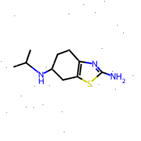 CC(C)NC1CCc2nc(N)sc2C1